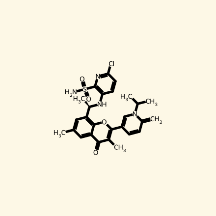 C=C1C=CC(c2oc3c([C@@H](C)Nc4ccc(Cl)nc4S(N)(=O)=O)cc(C)cc3c(=O)c2C)=CN1C(C)C